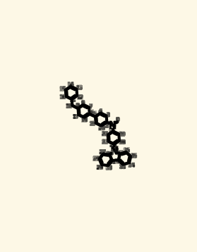 CN(c1ccc(-c2ccc(Cc3ccccc3)cc2)cc1)c1ccc(-n2c3ccccc3c3ccccc32)cc1